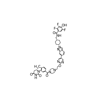 Cc1ccc(C(=O)N2CCN(CCOc3ncc(-c4ccc5cn([C@H]6CC[C@H](CNC(=O)c7cc(F)c(O)c(F)c7F)CC6)nc5c4)cn3)CC2)cc1N1CCC(=O)NC1=O